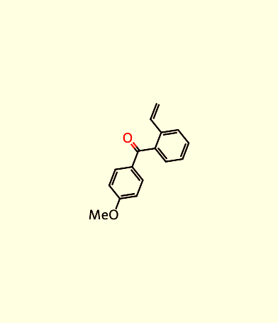 C=Cc1ccccc1C(=O)c1ccc(OC)cc1